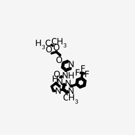 Cc1nc(-c2cccc(C(F)(F)F)c2)nc2c1N1CC[C@@H](C1)N2C(=O)Nc1cncc(OCC2COC(C)(C)O2)c1